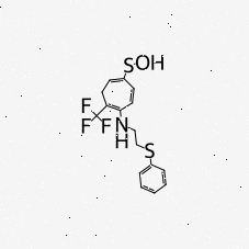 OSC1=CCC(C(F)(F)F)=C(NCCSc2ccccc2)C=C1